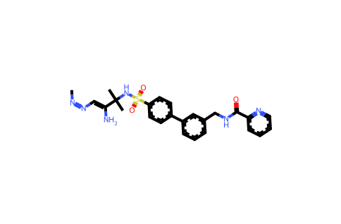 C/N=N\C=C(/N)C(C)(C)NS(=O)(=O)c1ccc(-c2cccc(CNC(=O)c3ccccn3)c2)cc1